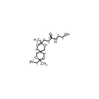 CC(C)CC1(C)OCC2(COC(C)(CCC(=O)NCCO)OC2)CO1